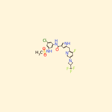 CS(=O)(=O)Nc1cc(Cl)cc(NC(=O)c2c[nH]c(Cc3ncc(N4CC(C(F)(F)F)C4)cc3F)c2)c1